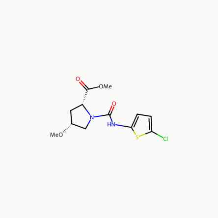 COC(=O)[C@H]1C[C@@H](OC)CN1C(=O)Nc1ccc(Cl)s1